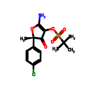 BC(B)(C)S(=O)(=O)OC1=C(N)O[C@@](B)(c2ccc(Cl)cc2)C1=O